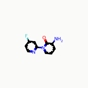 Nc1cccn(-c2cc(F)ccn2)c1=O